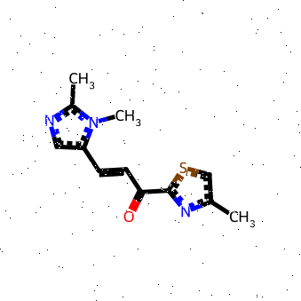 Cc1csc(C(=O)C=Cc2cnc(C)n2C)n1